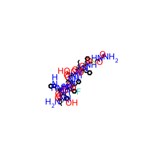 CCCC[C@@H](C(=O)N(C)CC(=O)N[C@@H](CC(=O)O)C(=O)N[C@H](C(=O)N(C)[C@@H](Cc1ccccc1)C(=O)N[C@@H](Cc1ccc(F)cc1)C(=O)N(C)CC(=O)N[C@@H](Cc1c[nH]c2ccccc12)C(=O)N[C@@H](Cc1ccc(O)cc1)C(=O)N[C@@H](CC(C)C)C(N)=O)C(C)C)N(C)C(=O)[C@H](Cc1ccccc1)N(C)C(=O)[C@H](Cc1ccccc1)NC(=O)CSCCC(=O)NCC(N)=O